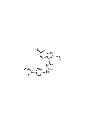 CNC(=O)c1ccc(Nc2nc(-c3c(C)nc4cc(Cl)ccn34)cs2)cc1